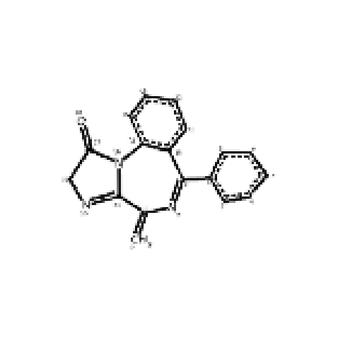 C=C1N=C(c2ccccc2)c2ccccc2N2C(=O)CN=C12